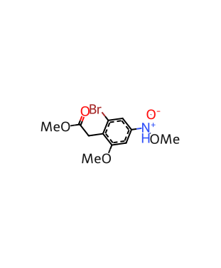 COC(=O)Cc1c(Br)cc([NH+]([O-])OC)cc1OC